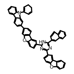 C1=CC(n2c3ccccc3c3ccc(-c4ccc5c(c4)oc4ccc(C6N=C(c7ccc8oc9ccccc9c8c7)N=C(c7ccc8ccccc8c7)N6)cc45)cc32)=CCC1